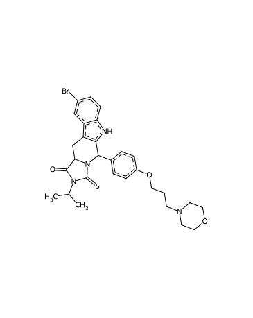 CC(C)N1C(=O)C2Cc3c([nH]c4ccc(Br)cc34)C(c3ccc(OCCCN4CCOCC4)cc3)N2C1=S